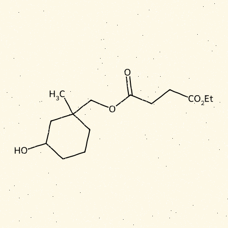 CCOC(=O)CCC(=O)OCC1(C)CCCC(O)C1